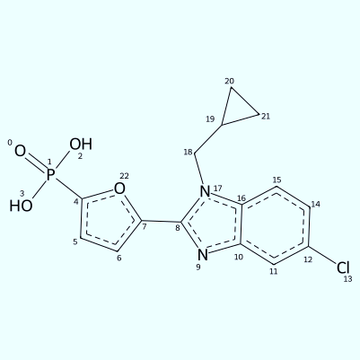 O=P(O)(O)c1ccc(-c2nc3cc(Cl)ccc3n2CC2CC2)o1